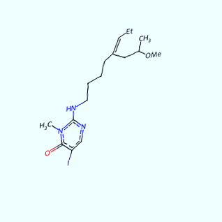 CC/C=C(/CCCCNc1ncc(I)c(=O)n1C)CC(C)OC